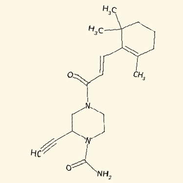 C#CC1CN(C(=O)C=CC2=C(C)CCCC2(C)C)CCN1C(N)=O